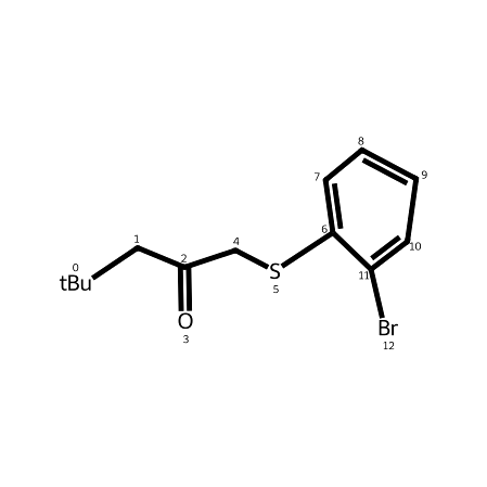 CC(C)(C)CC(=O)CSc1ccccc1Br